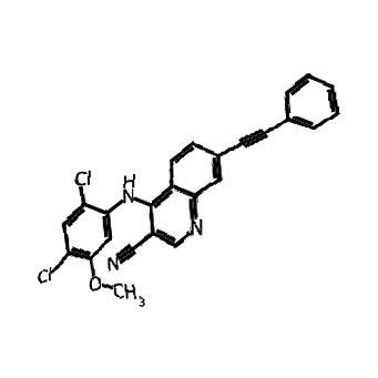 COc1cc(Nc2c(C#N)cnc3cc(C#Cc4ccccc4)ccc23)c(Cl)cc1Cl